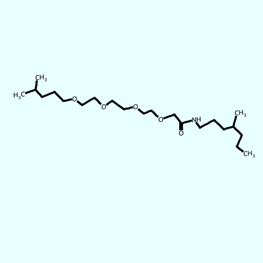 CCCC(C)CCCNC(=O)COCCOCCOCCOCCCC(C)C